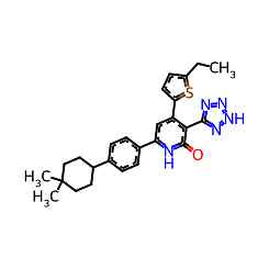 CCc1ccc(-c2cc(-c3ccc(C4CCC(C)(C)CC4)cc3)[nH]c(=O)c2-c2nn[nH]n2)s1